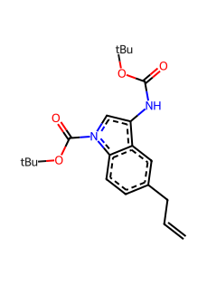 C=CCc1ccc2c(c1)c(NC(=O)OC(C)(C)C)cn2C(=O)OC(C)(C)C